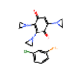 O=C1C=C(N2CC2)C(=O)C(N2CC2)=C1N1CC1.Pc1cccc(Cl)c1